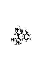 Clc1ccccc1-c1n[c]ncc1-c1cnc[nH]1